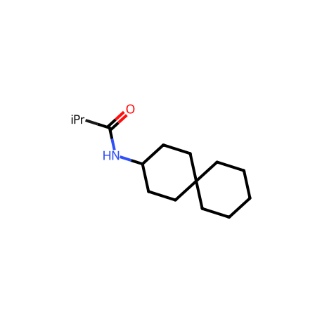 CC(C)C(=O)NC1CCC2(CCCCC2)CC1